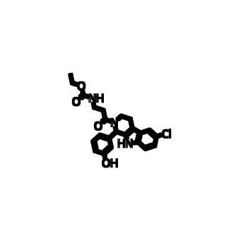 CCOC(=O)NCCC(=O)N1CCc2c([nH]c3ccc(Cl)cc23)C1c1cccc(O)c1